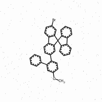 COc1ccc(-c2ccc3c(c2)C2(c4ccccc4-c4ccccc42)c2cc(Br)ccc2-3)c(-c2ccccc2)c1